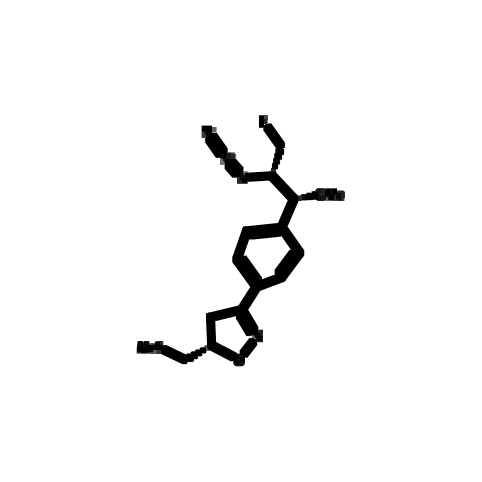 CO[C@H](c1ccc(C2=NO[C@H](CSC)C2)cc1)[C@@H](CF)N=[N+]=[N-]